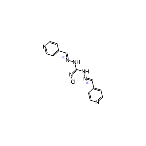 ClN=C(N/N=C/c1ccncc1)N/N=C/c1ccncc1